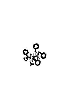 COC(c1ccccc1)c1nc2c(N(Cc3ccccc3)Cc3ccccc3)nc3c(c2n1CC(C)C)CCCC3